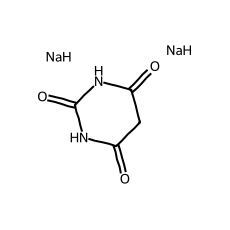 O=C1CC(=O)NC(=O)N1.[NaH].[NaH]